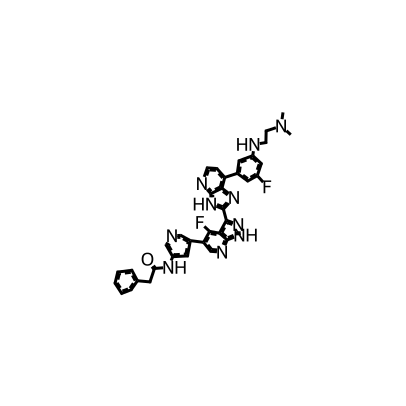 CN(C)CCNc1cc(F)cc(-c2ccnc3[nH]c(-c4n[nH]c5ncc(-c6cncc(NC(=O)Cc7ccccc7)c6)c(F)c45)nc23)c1